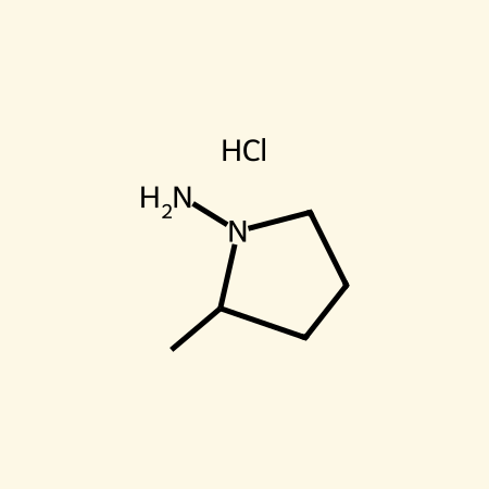 CC1CCCN1N.Cl